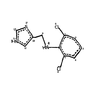 Clc1cccc(Cl)c1NCc1c[nH]cn1